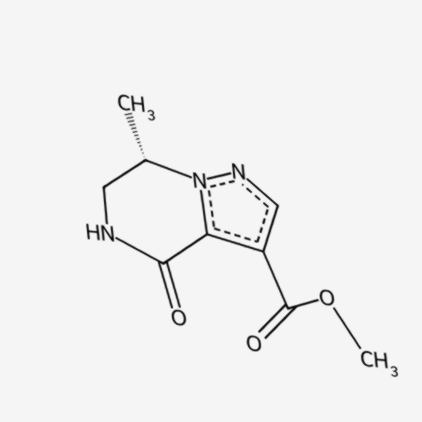 COC(=O)c1cnn2c1C(=O)NC[C@@H]2C